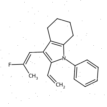 C=Cc1c(/C=C(\C)F)c2c(n1-c1ccccc1)CCCC2